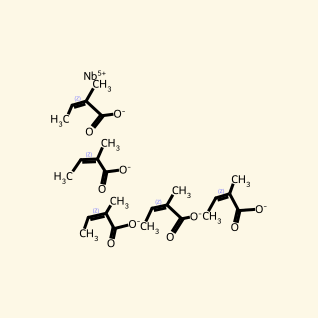 C/C=C(/C)C(=O)[O-].C/C=C(/C)C(=O)[O-].C/C=C(/C)C(=O)[O-].C/C=C(/C)C(=O)[O-].C/C=C(/C)C(=O)[O-].[Nb+5]